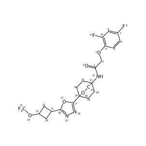 O=C(COc1ccc(F)cc1F)NC12CCC(c3nnc(C4CC(OC(F)(F)F)C4)o3)(CC1)OC2